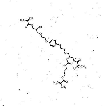 C=C(C)C(=O)OCCCNC(=O)OC(COCCOc1ccc(OCCOCC(O)COC(=O)C(=C)C)cc1)COC(=O)C(=C)C